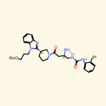 COCCCn1c([C@@H]2CCCN(C(=O)C[C@@H](N)CNC(=O)Nc3ccccc3C(C)C)C2)nc2ccccc21